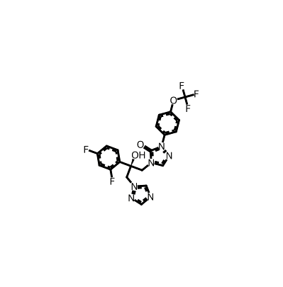 O=c1n(C[C@](O)(Cn2cncn2)c2ccc(F)cc2F)cnn1-c1ccc(OC(F)(F)F)cc1